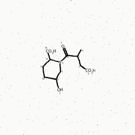 CC(CC(=O)O)C(=O)N1CC(O)CCC1C(=O)O